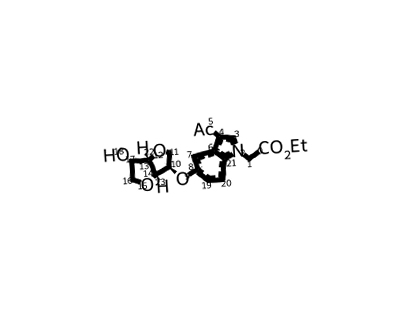 CCOC(=O)Cn1cc(C(C)=O)c2cc(O[C@@H]3CO[C@H]4[C@@H]3OC[C@H]4O)ccc21